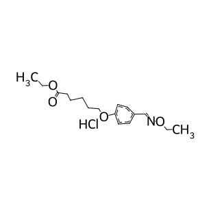 CCON=Cc1ccc(OCCCCCC(=O)OCC)cc1.Cl